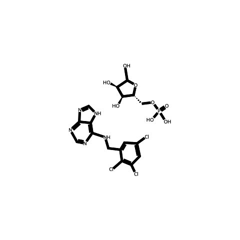 Clc1cc(Cl)c(Cl)c(CNc2ncnc3nc[nH]c23)c1.O=P(O)(O)OC[C@H]1OC(O)[C@H](O)[C@@H]1O